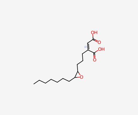 CCCCCCCC1OC1CCC/C(=C/C(=O)O)C(=O)O